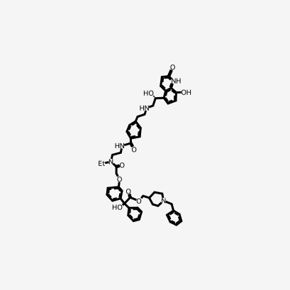 CCN(CCNC(=O)c1ccc(CCNC[C@H](O)c2ccc(O)c3[nH]c(=O)ccc23)cc1)C(=O)COc1cccc(C(O)(C(=O)OCC2CCN(Cc3ccccc3)CC2)c2ccccc2)c1